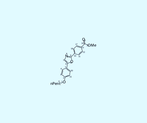 CCCCCOc1ccc(-c2cnc(-c3ccc(C(=O)OC)cc3)o2)cc1